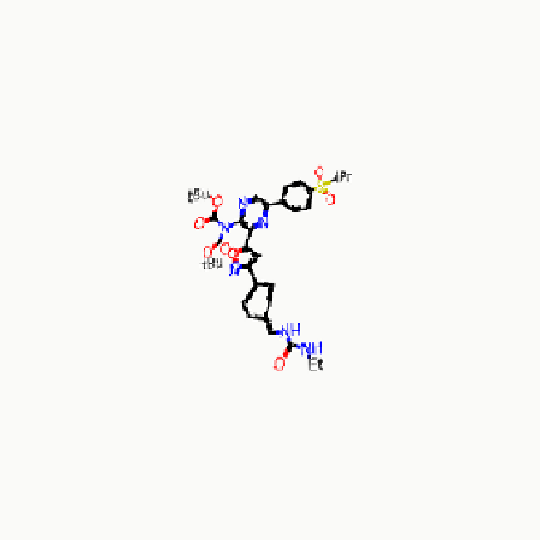 CCNC(=O)NC=C1C=CC(c2cc(-c3nc(-c4ccc(S(=O)(=O)C(C)C)cc4)cnc3N(C(=O)OC(C)(C)C)C(=O)OC(C)(C)C)on2)=CC1